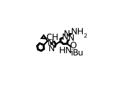 CC[C@H](C)NC(=O)c1cc(-c2cnn(C(c3ccccc3)C3(C)CC3)c2)cn2nc(N)nc12